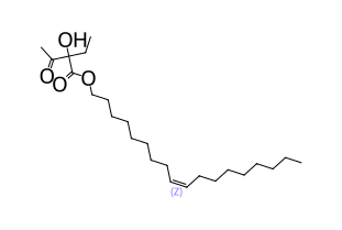 CCCCCCCC/C=C\CCCCCCCCOC(=O)C(O)(CC)C(C)=O